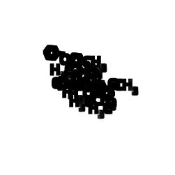 COc1ccc(CN(C(=O)OC(C)(C)C)c2ncnc3c(-c4c(C)ccc(OCc5ccccc5)c4C)nc(NC4[C@H]5COC[C@@H]45)cc23)c(OC)c1